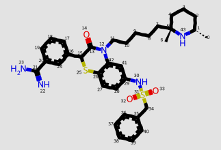 C[C@H]1CCC[C@@](C)(CCCCCN2C(=O)C(c3cccc(C(=N)N)c3)Sc3ccc(NS(=O)(=O)Cc4ccccc4)cc32)N1